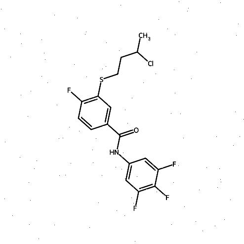 CC(Cl)CCSc1cc(C(=O)Nc2cc(F)c(F)c(F)c2)ccc1F